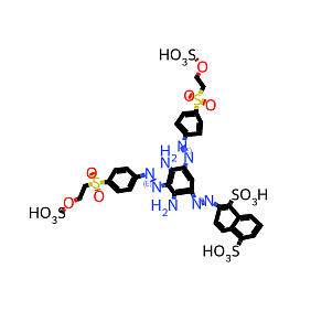 Nc1c(/N=N/c2ccc(S(=O)(=O)CCOS(=O)(=O)O)cc2)cc(/N=N/c2ccc3c(S(=O)(=O)O)cccc3c2S(=O)(=O)O)c(N)c1/N=N/c1ccc(S(=O)(=O)CCOS(=O)(=O)O)cc1